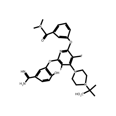 CN(C)C(=O)c1cccc(Oc2nc(Oc3cc(C(=N)N)ccc3O)c(F)c(N3CCN(C(C)(C)C(=O)O)CC3)c2F)c1